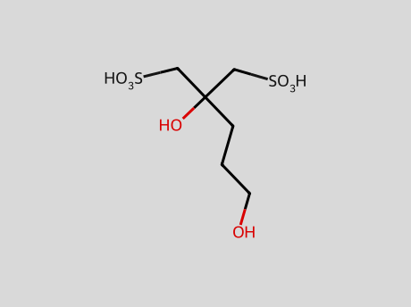 O=S(=O)(O)CC(O)(CCCO)CS(=O)(=O)O